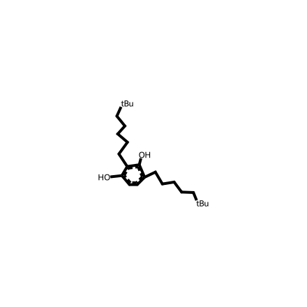 CC(C)(C)CCCCCc1ccc(O)c(CCCCCC(C)(C)C)c1O